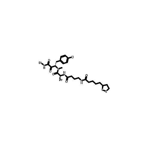 CCNC(=O)C(=O)[C@H](Cc1ccc(Cl)cc1)N(C)C(=O)[C@@H](NC(=O)CCCNC(=O)CCCCC1CCSS1)C(C)C